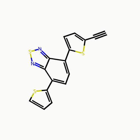 C#Cc1ccc(-c2ccc(-c3cccs3)c3nsnc23)s1